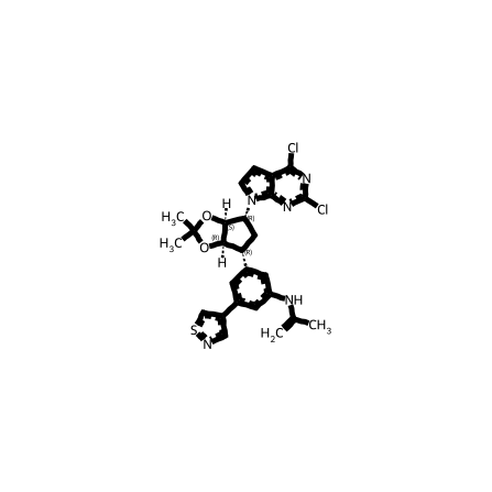 C=C(C)Nc1cc(-c2cnsc2)cc([C@H]2C[C@@H](n3ccc4c(Cl)nc(Cl)nc43)[C@@H]3OC(C)(C)O[C@@H]32)c1